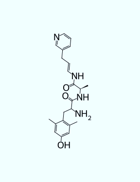 Cc1cc(O)cc(C)c1CC(N)C(=O)N[C@H](C)C(=O)NC=CCc1cccnc1